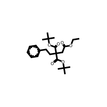 CCOC(=O)CC(CCc1ccccc1)(C(=O)OC(C)(C)C)C(=O)OC(C)(C)C